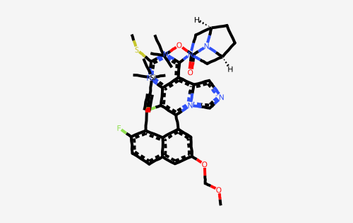 COCOc1cc(-c2c(F)c3nc(SC)nc(N4C[C@H]5CC[C@@H](C4)N5C(=O)OC(C)(C)C)c3c3cncn23)c2c(C#C[Si](C)(C)C)c(F)ccc2c1